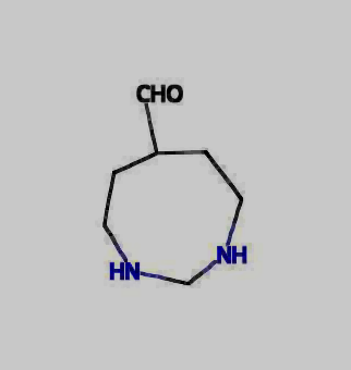 O=CC1CCNCNCC1